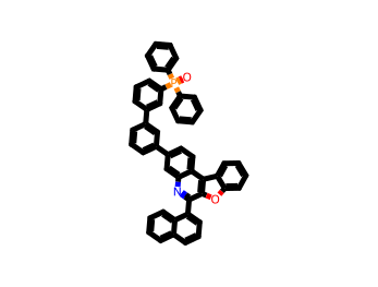 O=P(c1ccccc1)(c1ccccc1)c1cccc(-c2cccc(-c3ccc4c(c3)nc(-c3cccc5ccccc35)c3oc5ccccc5c34)c2)c1